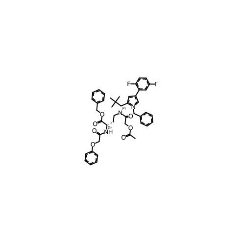 CC(=O)OCC(=O)N(CC[C@H](NC(=O)COc1ccccc1)C(=O)OCc1ccccc1)[C@@H](c1cc(-c2cc(F)ccc2F)cn1Cc1ccccc1)C(C)(C)C